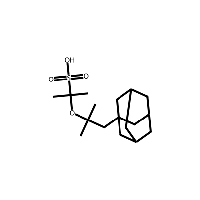 CC(C)(CC12CC3CC(CC(C3)C1)C2)OC(C)(C)S(=O)(=O)O